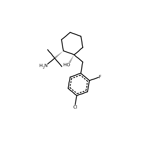 CC(C)(N)[C@@H]1CCCC[C@@]1(O)Cc1ccc(Cl)cc1F